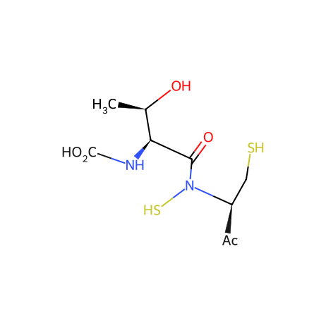 CC(=O)[C@H](CS)N(S)C(=O)[C@@H](NC(=O)O)[C@@H](C)O